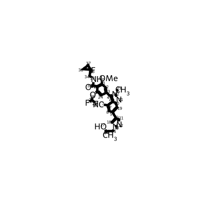 COc1cc(-c2c3c(C#N)cc(-c4cnn(C[C@@H](C)O)c4)cc3nn2C)cc(OC(F)F)c1C(=O)NCC1(F)CC1